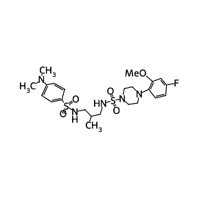 COc1cc(F)ccc1N1CCN(S(=O)(=O)NCC(C)CNS(=O)(=O)c2ccc(N(C)C)cc2)CC1